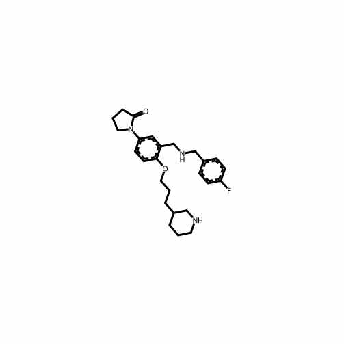 O=C1CCCN1c1ccc(OCCCC2CCCNC2)c(CNCc2ccc(F)cc2)c1